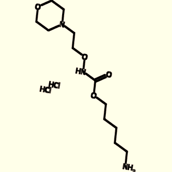 Cl.Cl.NCCCCCOC(=O)NOCCN1CCOCC1